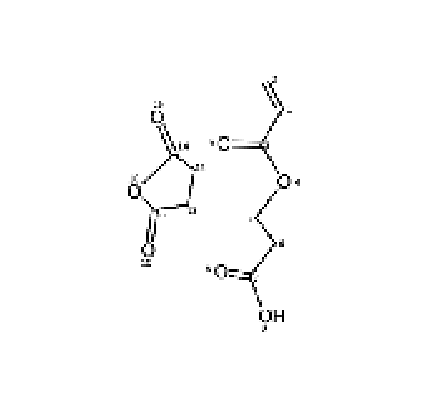 C=CC(=O)OCCC(=O)O.O=C1CCC(=O)O1